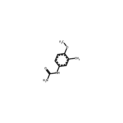 Cc1cc(NC(N)=O)ccc1OC(F)(F)F